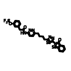 O=C(Cc1cccc(OC(F)(F)F)c1)Nc1ccc(CCCCc2nnc(-n3[se]c4ccccc4c3=O)[se]2)nn1